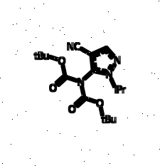 CC(C)n1ncc(C#N)c1N(C(=O)OC(C)(C)C)C(=O)OC(C)(C)C